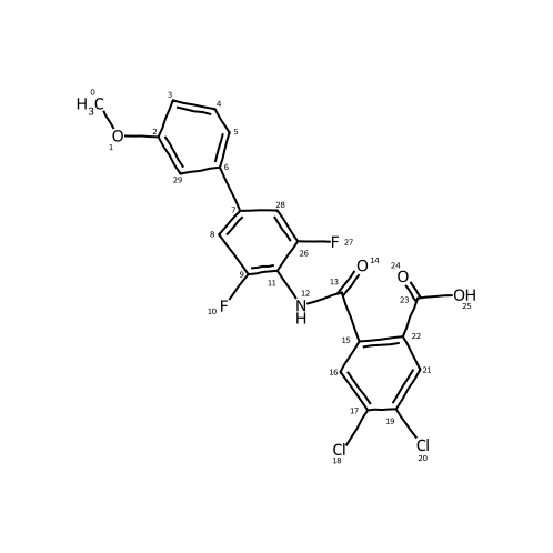 COc1cccc(-c2cc(F)c(NC(=O)c3cc(Cl)c(Cl)cc3C(=O)O)c(F)c2)c1